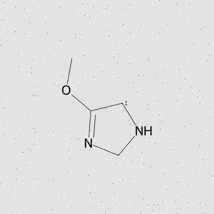 COC1=NCN[C]1